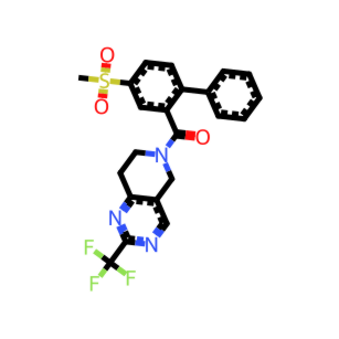 CS(=O)(=O)c1ccc(-c2ccccc2)c(C(=O)N2CCc3nc(C(F)(F)F)ncc3C2)c1